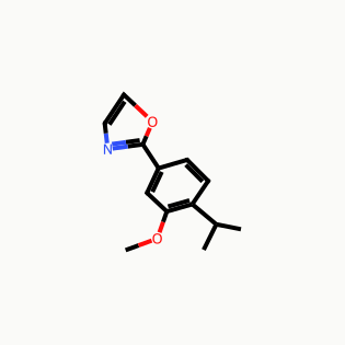 COc1cc(-c2ncco2)ccc1C(C)C